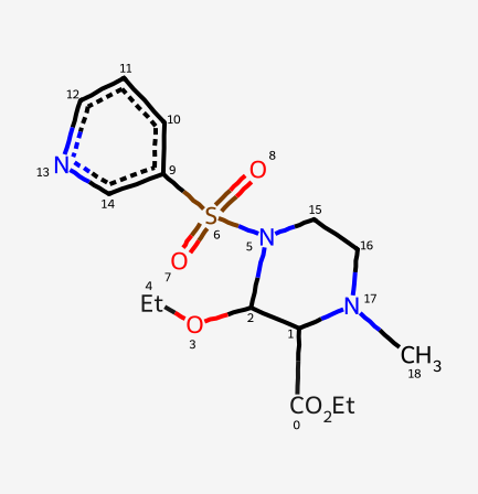 CCOC(=O)C1C(OCC)N(S(=O)(=O)c2cccnc2)CCN1C